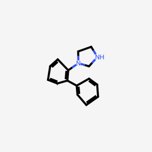 [c]1cccc(N2CCNC2)c1-c1ccccc1